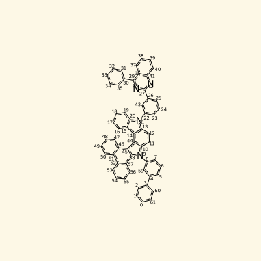 c1ccc(-c2cccc(-n3c4ccc5c(c6ccccc6n5-c5cccc(-c6nc(-c7ccccc7)c7ccccc7n6)c5)c4c4c5ccccc5c5ccccc5c43)c2)cc1